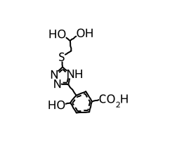 O=C(O)c1ccc(O)c(-c2nnc(SCC(O)O)[nH]2)c1